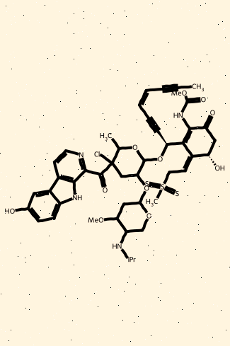 CC#C/C=C\C#C[C@H](OC1OC(C)C(Cl)(C(=O)c2nccc3c2[nH]c2ccc(O)cc23)CC1OC1CC(OC)C(NC(C)C)CO1)C1=C(NC(=O)OC)C(=O)C[C@H](O)/C1=C/CS(C)(=S)=S